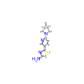 Nc1csc(-c2ccc(N3CC4CC4C3)nc2)n1